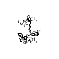 CCc1ccc2cc(-c3nc4cc(C(=O)N5C6CCC5C(N)C6)cc(OC)c4n3C)n(CCCCCCC(C)(C)C(N)=O)c2n1